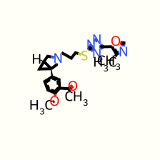 COc1ccc([C@@]23C[C@H]2CN(CCCSc2nnc(-c4ocnc4C)n2C)C3)cc1C(C)=O